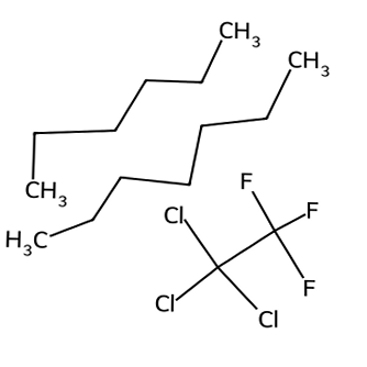 CCCCCC.CCCCCCC.FC(F)(F)C(Cl)(Cl)Cl